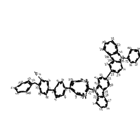 Fc1cc(-c2ccc(-c3cnc(-n4c5ccccc5c5cc(-c6ccc7c(c6)c6ccccc6n7-c6ccccc6)ccc54)nc3)cc2)ccc1-c1ccccc1